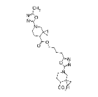 Cc1nnc(N2CCC(C(=O)OCCCCc3nnc(N4CCC(C(=O)O)C5(CC5)C4)o3)C3(CC3)C2)o1